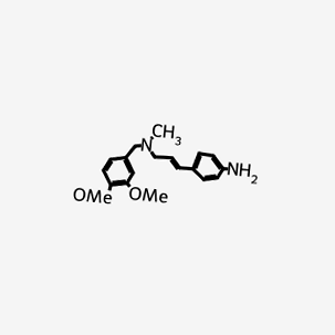 COc1ccc(CN(C)CC=Cc2ccc(N)cc2)cc1OC